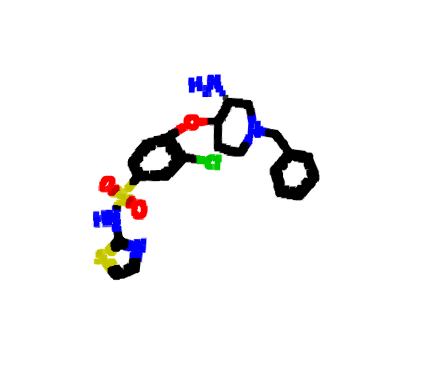 N[C@@H]1CN(Cc2ccccc2)CC[C@H]1Oc1ccc(S(=O)(=O)Nc2nccs2)cc1Cl